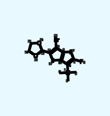 C[Si](C)(C)c1c(F)sc2c(Br)c(C3OCCO3)sc12